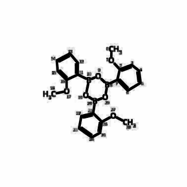 COc1ccccc1B1OB(c2ccccc2OC)OB(c2ccccc2OC)O1